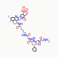 CC[C@@]1(O)C(=O)OCc2c1cc1n(c2=O)Cc2c-1nc1cc(F)c(C)c3c1c2[C@@H](NC(=O)CCCCCNC(=O)CNC(=O)[C@H](CCc1ccccc1)NC(=O)CNC(=O)CN)CC3